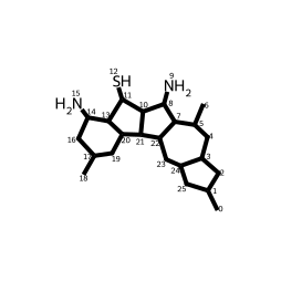 CC1CC2CC(C)C3C(N)C4C(S)C5C(N)CC(C)CC5C4C3CC2C1